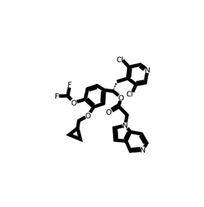 O=C(Cn1ccc2cnccc21)O[C@@H](Cc1c(Cl)cncc1Cl)c1ccc(OC(F)F)c(OCC2CC2)c1